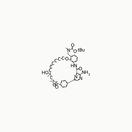 CN(Cc1cccc2c1OCCCCCCC(C)(O)CC(C)(C)S(=O)(=O)c1ccc(cc1)-c1cnc(N)c(n1)C(=O)N2)C(=O)OC(C)(C)C